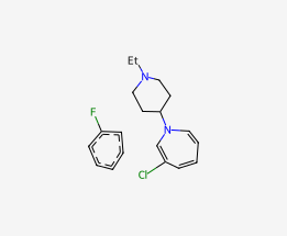 CCN1CCC(N2C=CC=CC(Cl)=C2)CC1.Fc1ccccc1